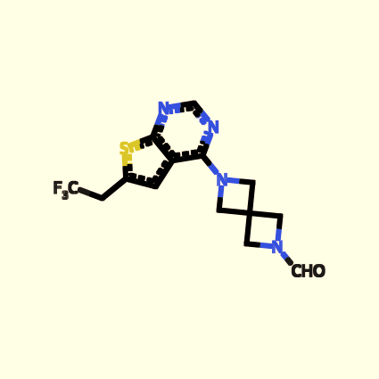 O=CN1CC2(C1)CN(c1ncnc3sc(CC(F)(F)F)cc13)C2